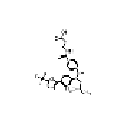 CC(C)CC(Nc1ccc(C(=O)NCCC(=O)O)cc1)c1ccc(-c2nnc(C(F)(F)F)o2)cc1